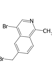 Cc1ncc(Br)c2cc(CBr)ccc12